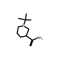 C=C(N)C1CCCN(C(C)(C)C)C1